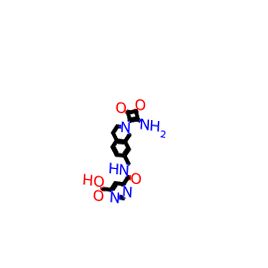 Nc1c(N2CCc3ccc(CNC(=O)c4cc(C(=O)O)ncn4)cc3C2)c(=O)c1=O